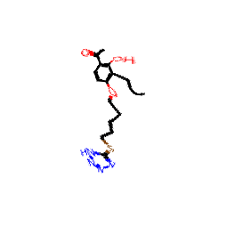 CCCc1c(OCCCCCSc2nnn[nH]2)ccc(C(C)=O)c1O